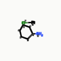 NC1CCCCC1.[Cl][Pt]